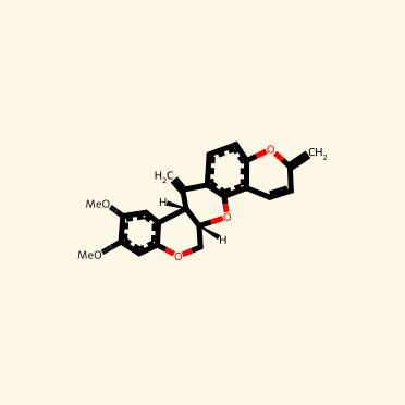 C=C1C=Cc2c(ccc3c2O[C@@H]2COc4cc(OC)c(OC)cc4[C@@H]2C3=C)O1